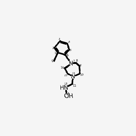 Cc1ccccc1N1CCCN(CNO)CC1